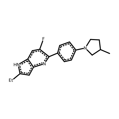 CCc1cc2nc(-c3ccc(N4CCC(C)C4)cc3)c(F)cc2[nH]1